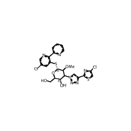 COC1C(n2cc(-c3nc(Cl)cs3)nn2)[C@@H](O)C(CO)O[C@@H]1Sc1cc(Cl)cnc1-c1ccccn1